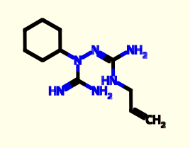 C=CCNC(N)=NN(C(=N)N)C1CCCCC1